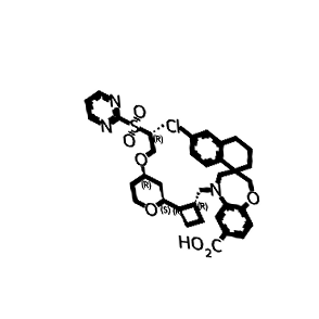 C[C@H](CO[C@@H]1CCO[C@H]([C@@H]2CC[C@H]2CN2CC3(CCCc4cc(Cl)ccc43)COc3ccc(C(=O)O)cc32)C1)S(=O)(=O)c1ncccn1